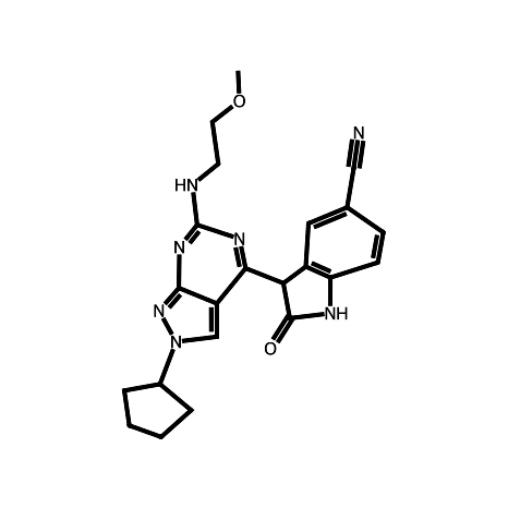 COCCNc1nc(C2C(=O)Nc3ccc(C#N)cc32)c2cn(C3CCCC3)nc2n1